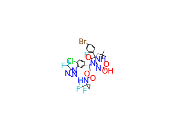 CC(C)(C)C[C@]1(c2ccc(Br)cc2F)NC(=NC(=O)O)N(C(COC(=O)NC2(C(F)(F)F)CC2)c2ccc(Cl)c(-n3ncnc3C(F)F)c2)C1=O